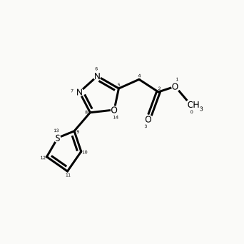 COC(=O)Cc1nnc(-c2cccs2)o1